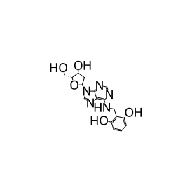 OC[C@H]1OC(n2cnc3c(NCc4c(O)cccc4O)ncnc32)C[C@@H]1O